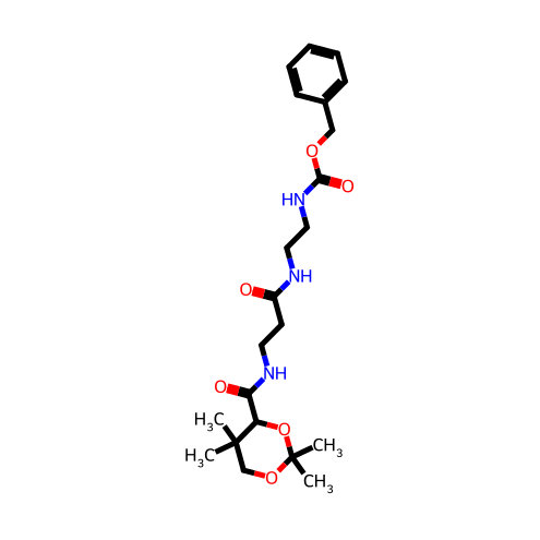 CC1(C)OCC(C)(C)C(C(=O)NCCC(=O)NCCNC(=O)OCc2ccccc2)O1